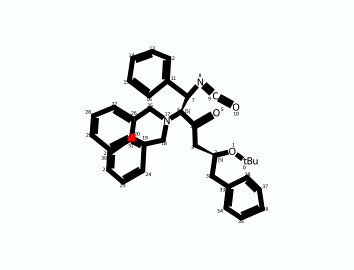 CC(C)(C)O[C@H](CC(=O)[C@H](C(N=C=O)c1ccccc1)N(Cc1ccccc1)Cc1ccccc1)Cc1ccccc1